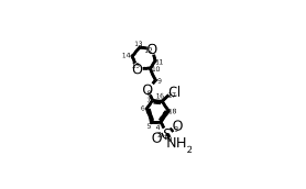 NS(=O)(=O)c1ccc(OCC2COCCO2)c(Cl)c1